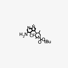 CC1CN(C(=O)OC(C)(C)C)CCC1c1cn(C)c2ncc(N)c(C(F)(F)F)c12